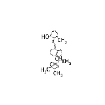 CC(C)[C@@H](C)/C=C/[C@@H](C)C1CCC2/C(=C/C=C3\[C@@H](C)CCC[C@@H]3O)CCC[C@@]21C